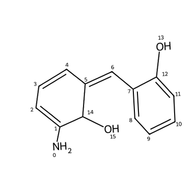 NC1=CC=C/C(=C/c2ccccc2O)C1O